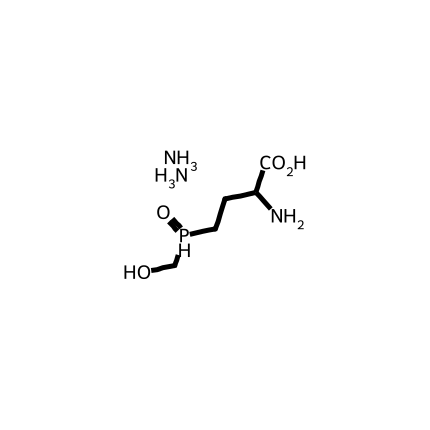 N.N.NC(CC[PH](=O)CO)C(=O)O